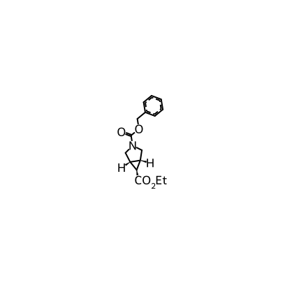 CCOC(=O)[C@H]1[C@@H]2CN(C(=O)OCc3ccccc3)C[C@@H]21